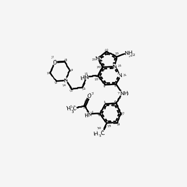 CC(=O)Nc1cc(Nc2cc(NCCN3CCOCC3)c3ncc(N)n3n2)ccc1C